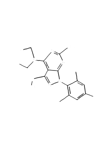 CC[N+](CC)c1nc(C)nc2c1c(SC)nn2-c1c(Cl)cc(Cl)cc1Cl